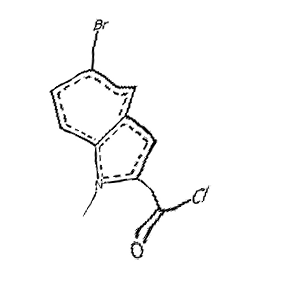 Cn1c(C(=O)Cl)cc2cc(Br)ccc21